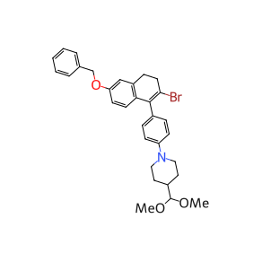 COC(OC)C1CCN(c2ccc(C3=C(Br)CCc4cc(OCc5ccccc5)ccc43)cc2)CC1